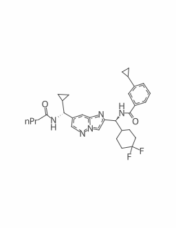 CCCC(=O)N[C@@H](c1cnn2cc([C@@H](NC(=O)c3cccc(C4CC4)c3)C3CCC(F)(F)CC3)nc2c1)C1CC1